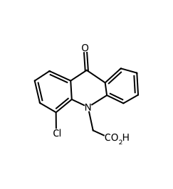 O=C(O)Cn1c2ccccc2c(=O)c2cccc(Cl)c21